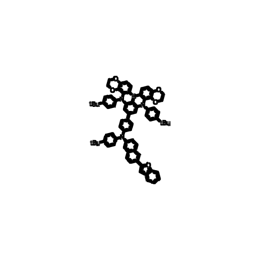 CC(C)(C)c1ccc(N(c2ccc(-c3cc4c5c(c3)N(c3ccc(C(C)(C)C)cc3)c3c(ccc6c3OCCO6)B5c3ccc5c(c3N4c3ccc(C(C)(C)C)cc3)OCCO5)cc2)c2ccc3cc(-c4cc5ccccc5o4)ccc3c2)cc1